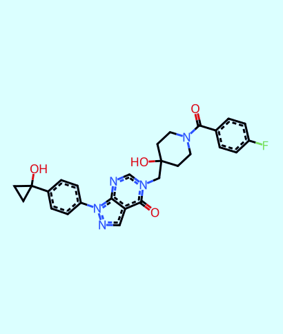 O=C(c1ccc(F)cc1)N1CCC(O)(Cn2cnc3c(cnn3-c3ccc(C4(O)CC4)cc3)c2=O)CC1